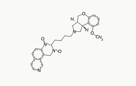 COc1cccc2c1[C@@H]1CN(CCCCC3[N+](=O)Cc4c(ccc5ccncc45)[N+]3=O)C[C@H]1CO2